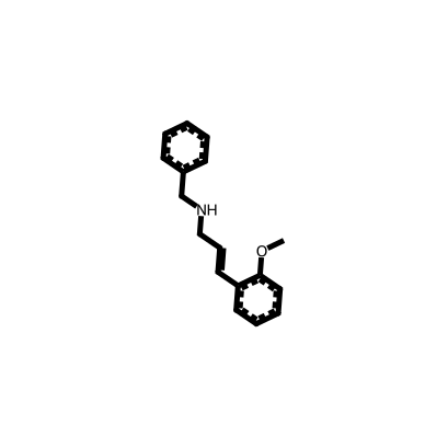 COc1ccccc1C=CCNCc1ccccc1